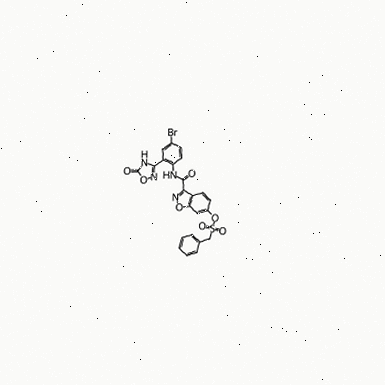 O=C(Nc1ccc(Br)cc1-c1noc(=O)[nH]1)c1noc2cc(OS(=O)(=O)Cc3ccccc3)ccc12